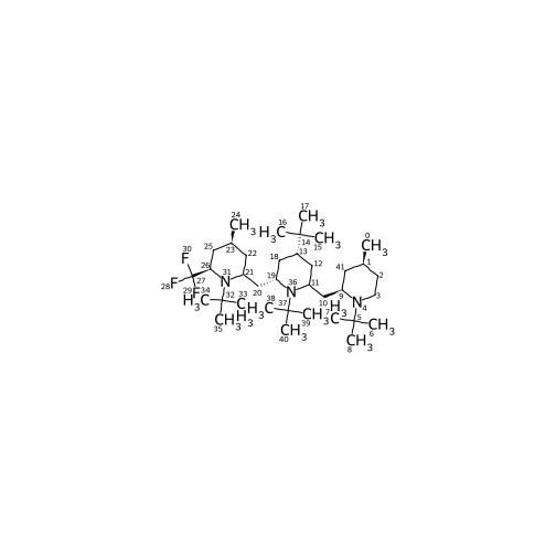 C[C@H]1CCN(C(C)(C)C)[C@@H](CC2C[C@@H](C(C)(C)C)C[C@@H](CC3C[C@H](C)C[C@H](C(F)(F)F)N3C(C)(C)C)N2C(C)(C)C)C1